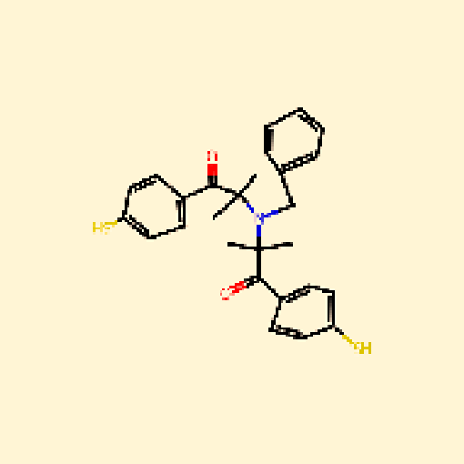 CC(C)(C(=O)c1ccc(S)cc1)N(Cc1ccccc1)C(C)(C)C(=O)c1ccc(S)cc1